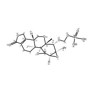 CC(C)[C@]12O[C@H]1[C@@H]1O[C@@]13[C@@]1(C)CCC4=C(COC4=O)[C@@H]1CO[C@]3(C)[C@@H]2OCOP(=O)(O)O